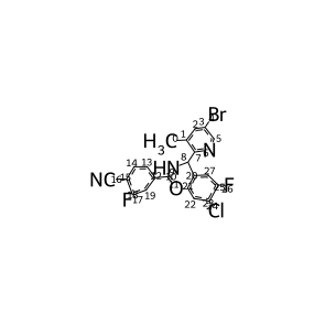 Cc1cc(Br)cnc1C(NC(=O)c1ccc(C#N)c(F)c1)c1ccc(Cl)c(F)c1